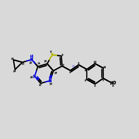 O=Nc1ccc(/C=C/c2csc3c(NC4CC4)ncnc23)cc1